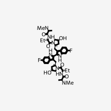 CC[C@H](NC(=O)C(C)NC)C(=O)N1C[C@@H](O)C[C@H]1Cc1c(-c2[nH]c3cc(F)ccc3c2C[C@@H]2C[C@H](O)CN2C(=O)[C@H](CC)NC(=O)C(C)NC)[nH]c2cc(F)ccc12